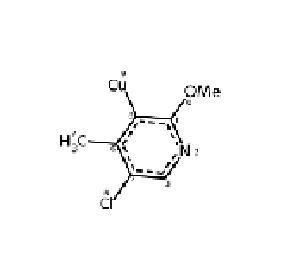 COc1ncc(Cl)c(C)[c]1[Cu]